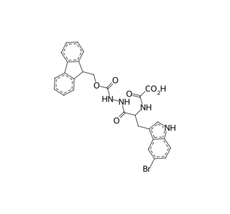 O=C(NNC(=O)C(Cc1c[nH]c2ccc(Br)cc12)NC(=O)C(=O)O)OCC1c2ccccc2-c2ccccc21